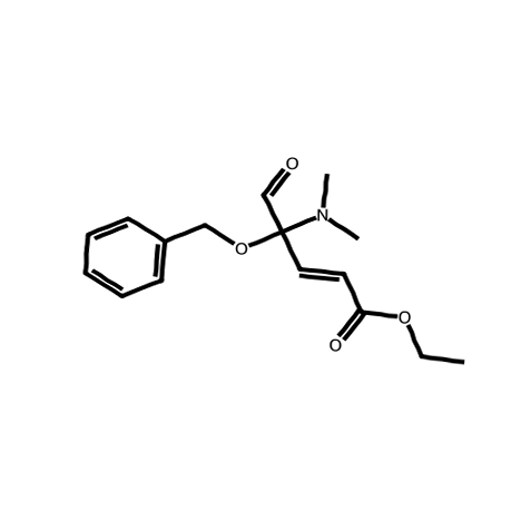 CCOC(=O)C=CC(C=O)(OCc1ccccc1)N(C)C